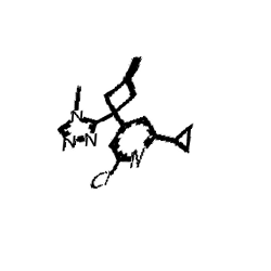 C=C1CC(c2cc(Cl)nc(C3CC3)c2)(c2nncn2C)C1